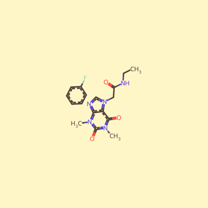 CCNC(=O)Cn1cnc2c1c(=O)n(C)c(=O)n2C.Fc1ccccc1